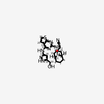 N#CCCN1[C@@H]2CCC[C@H]1C[C@H](Nc1nc(Nc3cc(CO)[nH]n3)c3ccsc3n1)C2